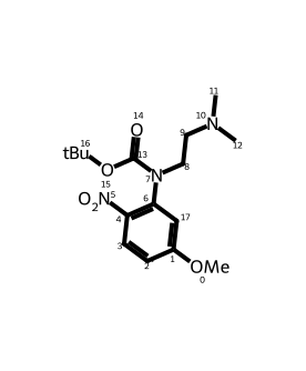 COc1[c]cc([N+](=O)[O-])c(N(CCN(C)C)C(=O)OC(C)(C)C)c1